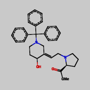 COC(=O)[C@@H]1CCCN1C/C=C1\CN(C(c2ccccc2)(c2ccccc2)c2ccccc2)CCC1O